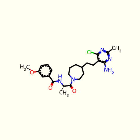 COc1cccc(C(=O)N[C@@H](C)C(=O)N2CCCC(CCc3c(N)nc(C)nc3Cl)CC2)c1